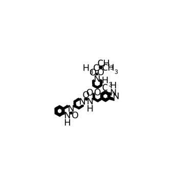 Cc1cc(CC(NC(=O)N2CCC(N3Cc4ccccc4NC3=O)CC2)C(=O)OC2CCN(C(=O)OC(C)(C)C)CC2)cc2cn[nH]c12